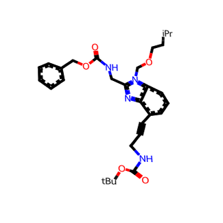 CC(C)CCOCn1c(CNC(=O)OCc2ccccc2)nc2c(C#CCNC(=O)OC(C)(C)C)cccc21